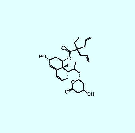 C=CCC(CC)(CC=C)C(=O)O[C@H]1C[C@H](O)C=C2C=CC[C@@H]([C@@H](C)C[C@@H]3C[C@@H](O)CC(=O)O3)[C@H]21